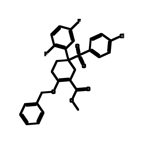 COC(=O)C1=C(OCc2ccccc2)CCC(c2cc(F)ccc2F)(S(=O)(=O)c2ccc(Cl)cc2)C1